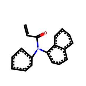 C=CC(=O)N(c1ccccc1)c1cccc2ccccc12